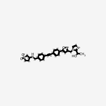 CC(O)c1nccn1Cc1cc(-c2ccc(C#Cc3ccc(CNC4CCS(=O)(=O)C4)cc3)cc2)on1